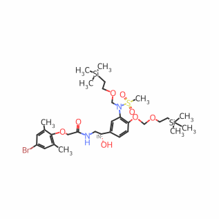 Cc1cc(Br)cc(C)c1OCC(=O)NC[C@@H](O)c1ccc(OCOCC[Si](C)(C)C)c(N(COCC[Si](C)(C)C)S(C)(=O)=O)c1